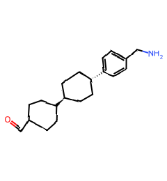 NCc1ccc([C@H]2CC[C@H](C3CCC(C=O)CC3)CC2)cc1